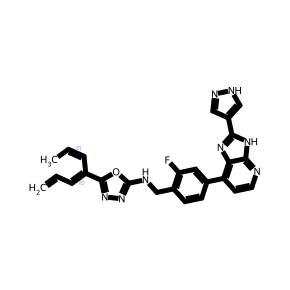 C=C/C=C(\C=C/C)c1nnc(NCc2ccc(-c3ccnc4[nH]c(-c5cn[nH]c5)nc34)cc2F)o1